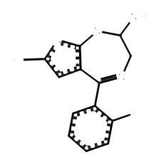 NC1CN=C(c2ccccc2F)c2cc(Cl)sc2N1